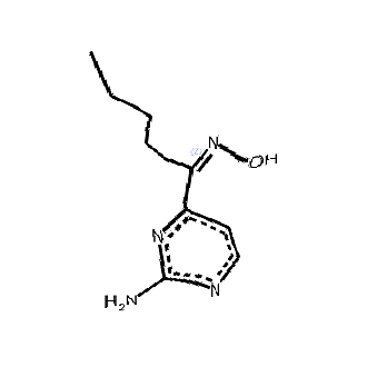 CCCC/C(=N/O)c1ccnc(N)n1